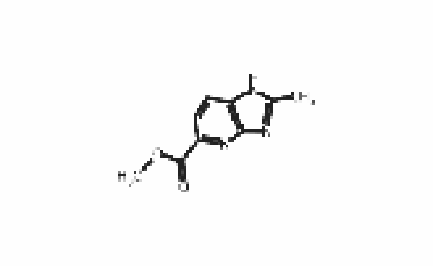 COC(=O)c1ccc2[nH]c(C)nc2n1